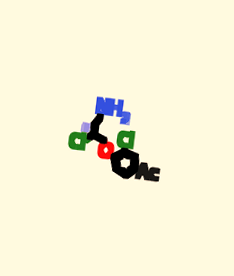 CC(=O)c1ccc(OC/C(Cl)=C\CN)c(Cl)c1